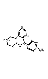 Cc1ccc(C(OC2CCNCC2)c2ccccc2)cc1